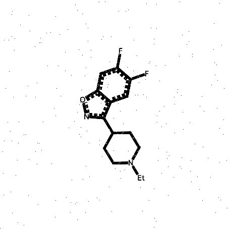 CCN1CCC(c2noc3cc(F)c(F)cc23)CC1